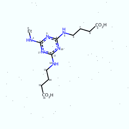 CCNc1nc(NCCCC(=O)O)nc(NCCCC(=O)O)n1